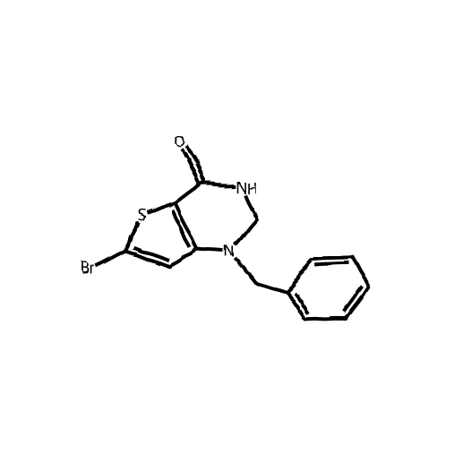 O=C1NCN(Cc2ccccc2)c2cc(Br)sc21